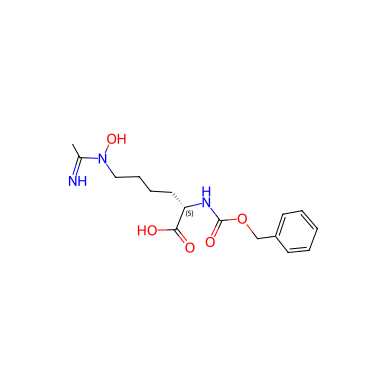 CC(=N)N(O)CCCC[C@H](NC(=O)OCc1ccccc1)C(=O)O